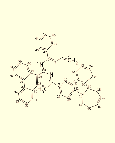 C=C/C=C(/N=C(\N=C(/C)c1ccc(C2CCC=CCC2C2C=CC=CC2)cc1)c1cc2ccccc2c2ccccc12)c1ccccc1